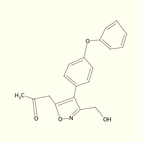 CC(=O)Cc1onc(CO)c1-c1ccc(Oc2ccccc2)cc1